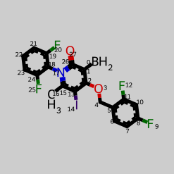 Bc1c(OCc2ccc(F)cc2F)c(I)c(C)n(-c2c(F)cccc2F)c1=O